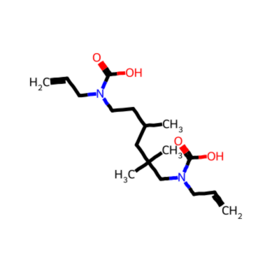 C=CCN(CCC(C)CC(C)(C)CN(CC=C)C(=O)O)C(=O)O